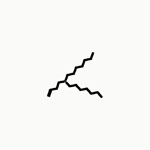 C=CCCN(CCCCCCC)CCCCCCC